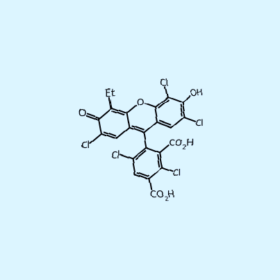 CCc1c2oc3c(Cl)c(O)c(Cl)cc3c(-c3c(Cl)cc(C(=O)O)c(Cl)c3C(=O)O)c-2cc(Cl)c1=O